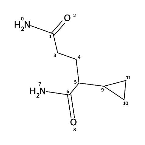 NC(=O)CCC(C(N)=O)C1CC1